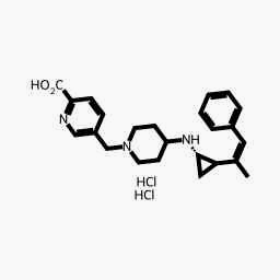 CC(=Cc1ccccc1)C1C[C@@H]1NC1CCN(Cc2ccc(C(=O)O)nc2)CC1.Cl.Cl